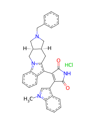 Cl.Cn1cc(C2=C(c3c4n(c5ccccc35)C[C@H]3CN(Cc5ccccc5)C[C@H]3C4)C(=O)NC2=O)c2ccccc21